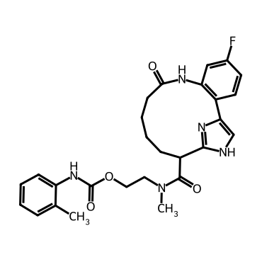 Cc1ccccc1NC(=O)OCCN(C)C(=O)C1CCCCC(=O)Nc2cc(F)ccc2-c2c[nH]c1n2